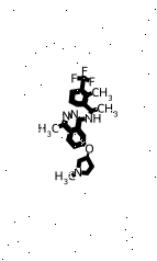 Cc1c(C(C)Nc2nnc(C)c3ccc(O[C@H]4CCN(C)C4)cc23)cccc1C(F)(F)F